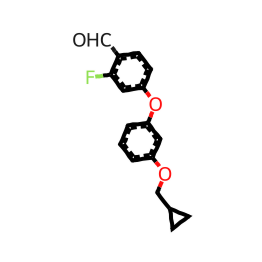 O=Cc1ccc(Oc2cccc(OCC3CC3)c2)cc1F